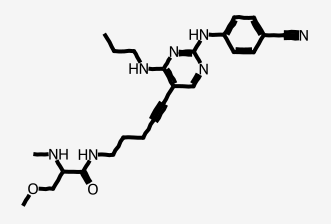 CCCNc1nc(Nc2ccc(C#N)cc2)ncc1C#CCCCNC(=O)C(COC)NC